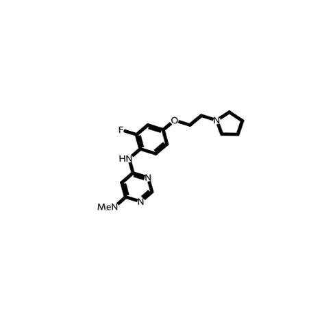 CNc1cc(Nc2ccc(OCCN3CCCC3)cc2F)ncn1